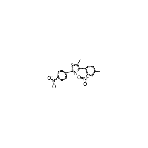 Cc1ccc(-c2nc(-c3ccc([N+](=O)[O-])cc3)sc2C)c([N+](=O)[O-])c1